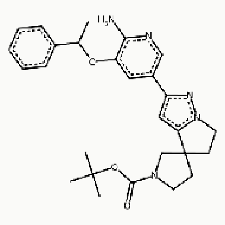 CC(Oc1cc(-c2cc3n(n2)CCC32CCN(C(=O)OC(C)(C)C)C2)cnc1N)c1ccccc1